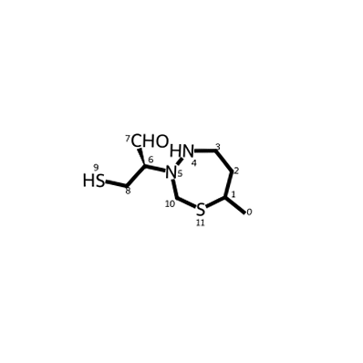 CC1CCNN([C@H](C=O)CS)CS1